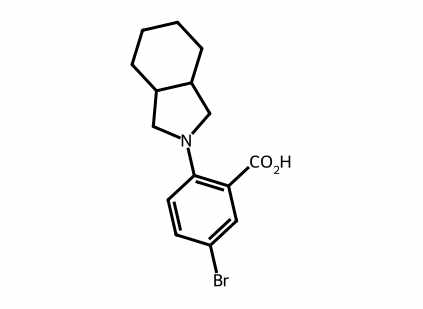 O=C(O)c1cc(Br)ccc1N1CC2CCCCC2C1